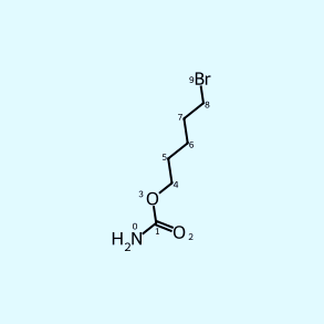 NC(=O)OCCCCCBr